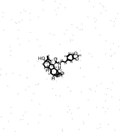 C=C1C[C@]23C[C@@]1(O)CC[C@H]2C1=C[C@H]2CC(=O)[C@@](C)(C1[C@@H]3C(=O)NCCc1ccc3c(c1)OCO3)[C@H]2O